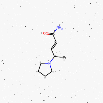 CC(C)C(C=CC(N)=O)N1CCCC1